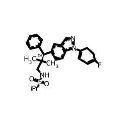 CC(C)S(=O)(=O)NCC(C)(C)[C@@H](c1ccccc1)c1ccc2c(cnn2C2=CC=C(F)CC2)c1